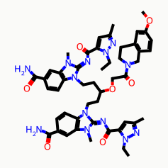 CCn1nc(C)cc1C(=O)N=c1n(C)c2cc(C(N)=O)ccc2n1CCC(CCn1c(=NC(=O)c2cc(C)nn2CC)n(C)c2cc(C(N)=O)ccc21)OCC(=O)N1CCc2cc(OC)ccc2C1